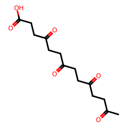 CC(=O)CCC(=O)CCC(=O)CCC(=O)CCC(=O)O